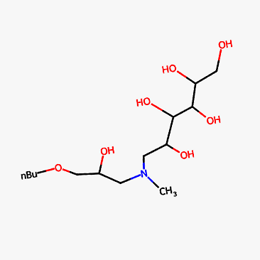 CCCCOCC(O)CN(C)CC(O)C(O)C(O)C(O)CO